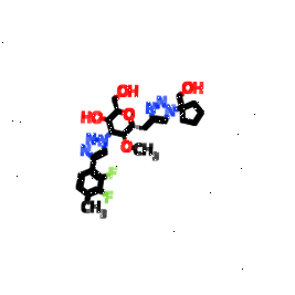 CO[C@@H]1[C@@H](n2cc(-c3ccc(C)c(F)c3F)nn2)[C@@H](O)[C@@H](CO)O[C@@H]1Cc1cn(C2(CO)CCCC2)nn1